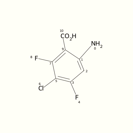 Nc1cc(F)c(Cl)c(F)c1C(=O)O